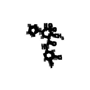 CN1[C@@H](C(=O)Nc2ccc(F)c(Cl)c2)C[C@@H](c2nccs2)NS1(=O)=O